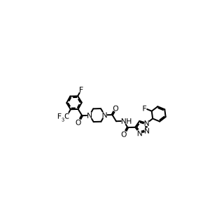 O=C(NCC(=O)N1CCN(C(=O)c2cc(F)ccc2C(F)(F)F)CC1)c1cn(C2C=CC=CC2F)nn1